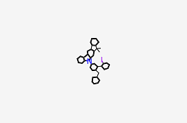 CC1(C)c2ccccc2-c2cc3c4ccccc4n(-c4ccc(Cc5ccccc5)c(-c5ccccc5I)c4)c3cc21